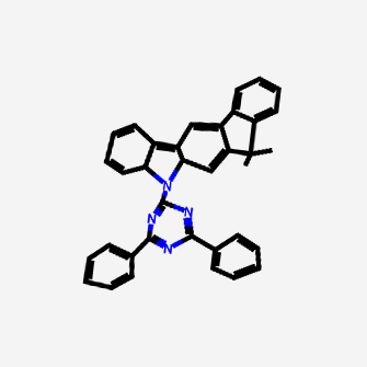 CC1(C)C2=CC3C(=C4C=CC=CC4N3c3nc(-c4ccccc4)nc(-c4ccccc4)n3)C=C2c2ccccc21